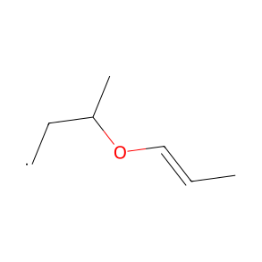 [CH2]CC(C)OC=CC